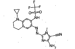 Cn1c(N=Nc2cc3c(cc2NS(=O)(=O)C(F)(F)F)N(C2CC2)CCC3)nc(N)c1C#N